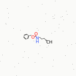 C#CCCCNC(=O)OCc1ccccc1